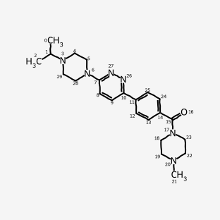 CC(C)N1CCN(c2ccc(-c3ccc(C(=O)N4CCN(C)CC4)cc3)nn2)CC1